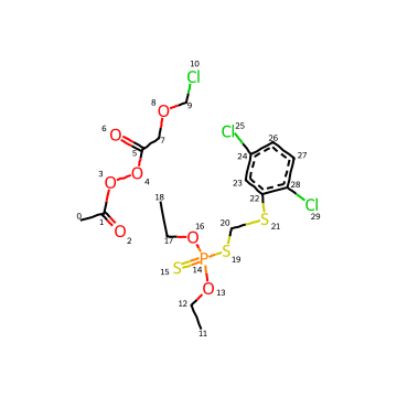 CC(=O)OOC(=O)COCCl.CCOP(=S)(OCC)SCSc1cc(Cl)ccc1Cl